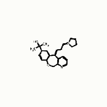 CC(C)(O)C1C=CC2OCC3N=CC=CC3/C(=C\CCN3CCCC3)C2C1